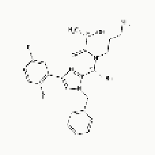 C[C@H](O)C(=O)N(CCCN)[C@@H](c1nc(-c2cc(F)ccc2F)cn1Cc1ccccc1)C(C)(C)C